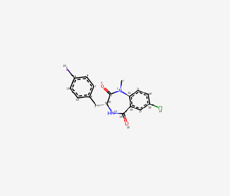 CN1C(=O)[C@@H](Cc2ccc(I)cc2)NC(=O)c2cc(Cl)ccc21